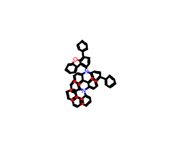 c1ccc(-c2ccc(N(c3ccccc3-c3ccccc3N(c3ccccc3-c3ccccc3)c3ccccc3-c3ccccc3)c3ccc(-c4ccccc4)c4oc5ccccc5c34)cc2)cc1